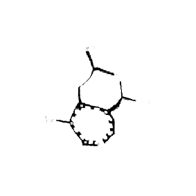 CC(C)C1Cc2c(Br)cncc2C(O)O1